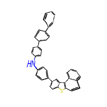 c1ccc(-c2ccc(-c3ccc(Nc4ccc(-c5ccc6sc7ccc8ccccc8c7c6c5)cc4)cc3)cc2)cc1